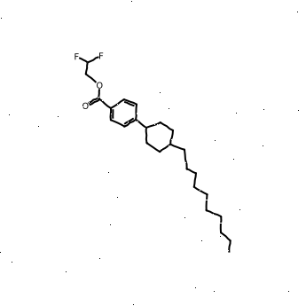 CCCCCCCCCCC1CCC(c2ccc(C(=O)OCC(F)F)cc2)CC1